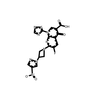 O=C(O)c1cn(-c2ncns2)c2nc(N3CC(n4cc([N+](=O)[O-])cn4)C3)c(F)cc2c1=O